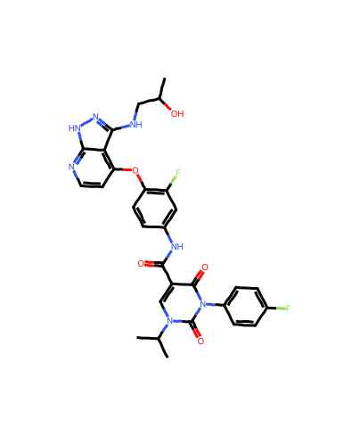 CC(O)CNc1n[nH]c2nccc(Oc3ccc(NC(=O)c4cn(C(C)C)c(=O)n(-c5ccc(F)cc5)c4=O)cc3F)c12